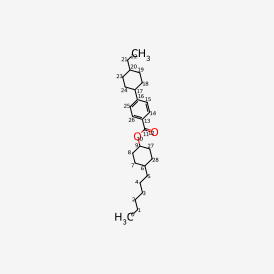 CCCCCCC1CCC(OC(=O)c2ccc(C3CCC(CC)CC3)cc2)CC1